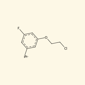 C[C](C)c1cc(F)cc(OCCCl)c1